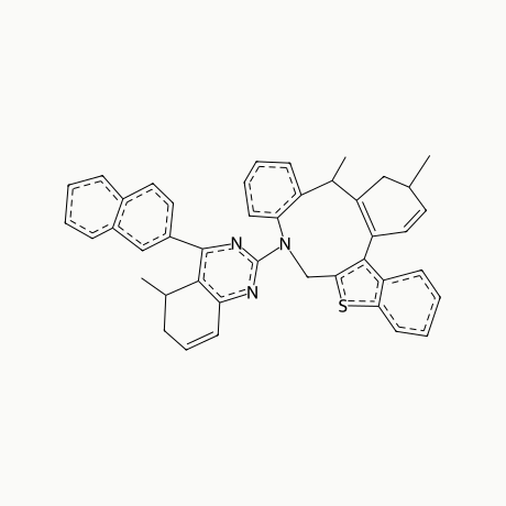 CC1C=CC2=C(C1)C(C)c1ccccc1N(c1nc3c(c(-c4ccc5ccccc5c4)n1)C(C)CC=C3)Cc1sc3ccccc3c12